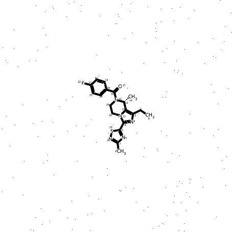 CCc1nc(-c2nc(C)ns2)n2c1[C@@H](C)N(C(=O)c1ccc(F)cc1)CC2